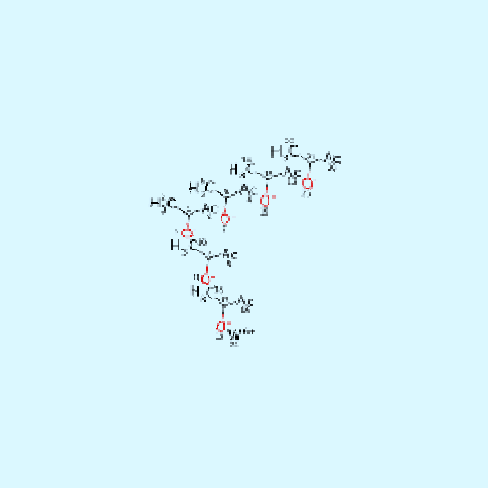 CC(=O)C(C)[O-].CC(=O)C(C)[O-].CC(=O)C(C)[O-].CC(=O)C(C)[O-].CC(=O)C(C)[O-].CC(=O)C(C)[O-].[W+6]